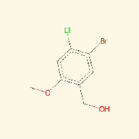 COc1cc(Cl)c(Br)cc1CO